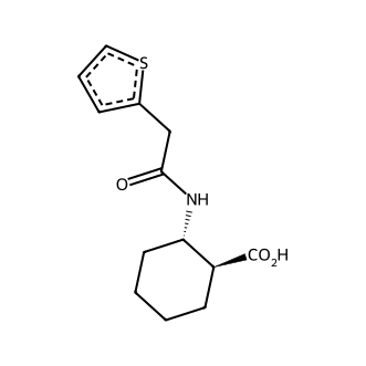 O=C(Cc1cccs1)N[C@H]1CCCC[C@@H]1C(=O)O